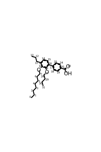 CCCCCCCCOc1c(CCC)ccc(-c2ccc(C(=O)O)cc2)c1OCCCC